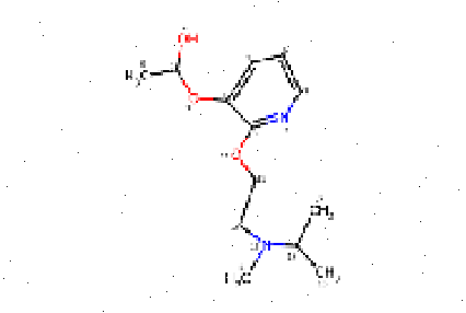 CC(O)Oc1cccnc1OCCN(C)C(C)C